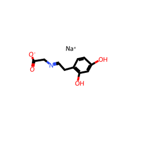 O=C([O-])CN=CCc1ccc(O)cc1O.[Na+]